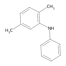 Cc1ccc(C)c(Nc2ccccc2)c1